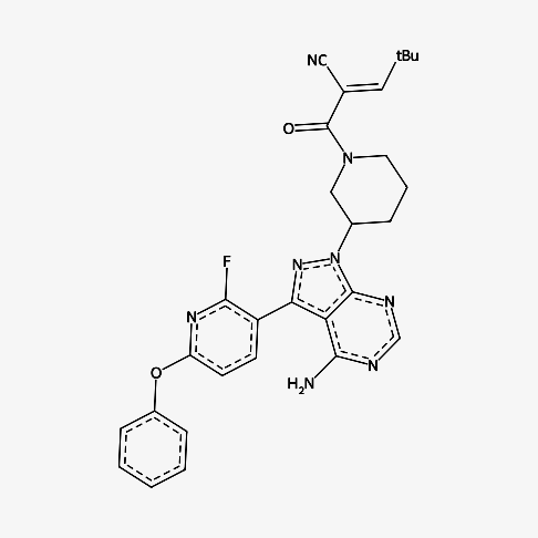 CC(C)(C)C=C(C#N)C(=O)N1CCCC(n2nc(-c3ccc(Oc4ccccc4)nc3F)c3c(N)ncnc32)C1